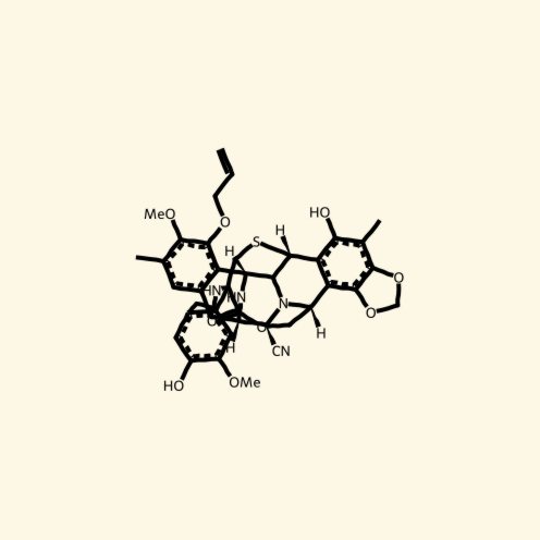 C=CCOc1c(OC)c(C)cc2c1[C@H]1N[C@@H](C2)[C@H](C#N)N2C1[C@@H]1SC[C@]3(NCCc4cc(O)c(OC)cc43)C(=O)OC[C@H]2c2c3c(c(C)c(O)c21)OCO3